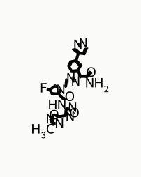 Cc1noc(-c2nonc2NC(=O)C2CC(F)CN2CCn2nc(C(N)=O)c3cc(-c4ccnnc4)ccc32)n1